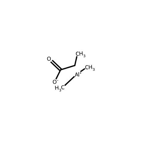 CCC(=O)[O-].[CH3][Al+][CH3]